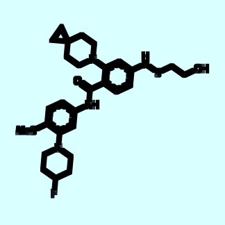 CSc1ccc(NC(=O)c2ccc(NSCCO)cc2N2CCC3(CC2)CC3)cc1N1CCC(F)CC1